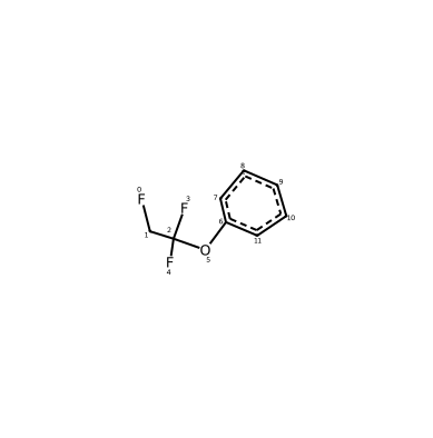 FCC(F)(F)Oc1c[c]ccc1